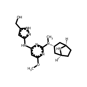 COc1cc(Nc2cc(CO)[nH]n2)nc(N(C)[C@@H]2C[C@H]3CC[C@@H](C2)N3)n1